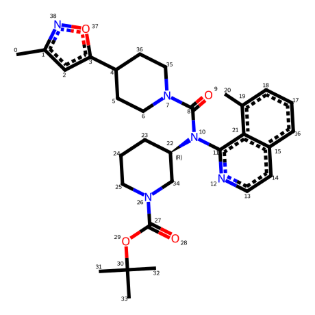 Cc1cc(C2CCN(C(=O)N(c3nccc4cccc(C)c34)[C@@H]3CCCN(C(=O)OC(C)(C)C)C3)CC2)on1